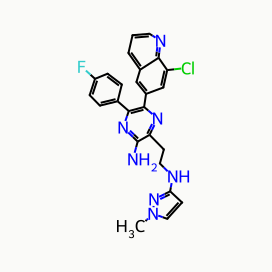 Cn1ccc(NCCc2nc(-c3cc(Cl)c4ncccc4c3)c(-c3ccc(F)cc3)nc2N)n1